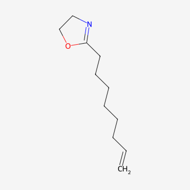 C=CCCCCCCC1=NCCO1